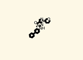 Cn1c(Nc2ccc(-c3ccccc3)cc2)nc2c(cnn2[C@@H]2CCCOC2)c1=O